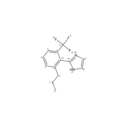 CSCc1cccc(C(F)(F)F)c1-c1ncc[nH]1